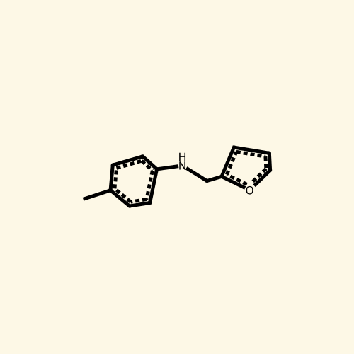 Cc1ccc(NCc2ccco2)cc1